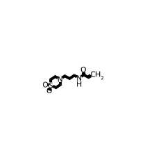 C=CC(=O)NCCCN1CCS(=O)(=O)CC1